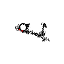 COc1cc2cc(c1Cl)N(C)C(=O)C[C@H](OC(=O)CN(C)C(=O)CCN(C)C(=O)OCc1ccc(NC(=O)[C@@H](CCCNC(N)=O)NC(=O)C(NC(=O)CCCCCN3C(=O)C=CC3=O)C(C)C)cc1)[C@]1(C)O[C@H]1[C@H](C)[C@@H]1C[C@@](O)(NC(=O)O1)[C@H](OC)/C=C/C=C(\C)C2